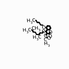 CCC=CCCOc1cccc2oc(=O)c(OC(C)=O)c(OC/C=C(\C)CCC=C(C)C)c12